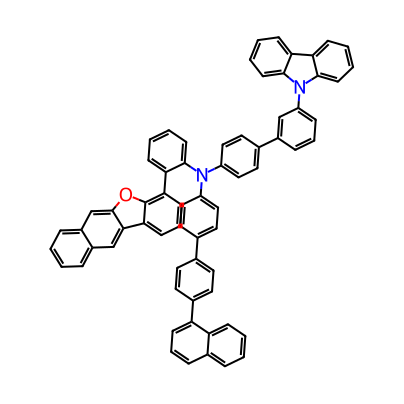 c1cc(-c2ccc(N(c3ccc(-c4ccc(-c5cccc6ccccc56)cc4)cc3)c3ccccc3-c3cccc4c3oc3cc5ccccc5cc34)cc2)cc(-n2c3ccccc3c3ccccc32)c1